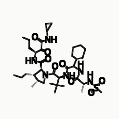 CCC[C@@H]1[C@@H](C(=O)N[C@@H](CCC)C(=O)C(=O)NC2CC2)N(C(=O)[C@@H](NC(=O)C(NC(=O)[C@@H](C)NS(C)(=O)=O)C2CCCCC2)C(C)(C)C)C[C@@H]1C